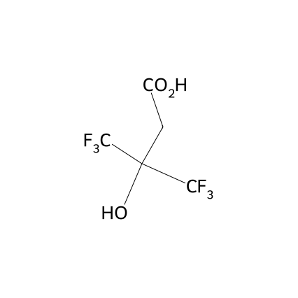 O=C(O)CC(O)(C(F)(F)F)C(F)(F)F